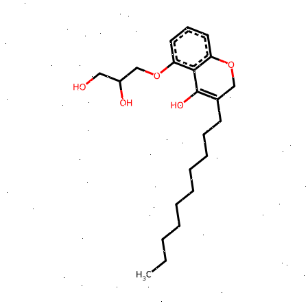 CCCCCCCCCCC1=C(O)c2c(cccc2OCC(O)CO)OC1